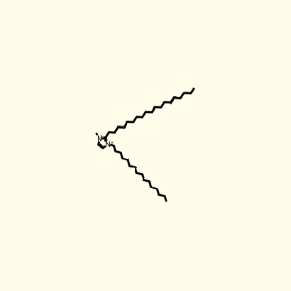 CCCCCCCCCCCCCCCCCCCc1n(C)cc[n+]1CCCCCCCCCCCCCCCC